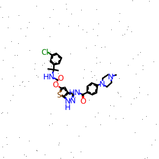 CN1CCN(c2ccc(C(=O)Nc3n[nH]c4sc(OC(=O)NC(C)(C)c5cccc(Cl)c5)cc34)cc2)CC1